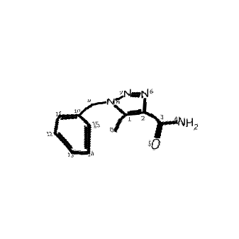 Cc1c(C(N)=O)nnn1Cc1ccccc1